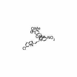 COC(=O)c1ccc(Cc2cn(C/C=C/c3ccc4ccc(Cl)cc4n3)c3ccc([N+](=O)[O-])cc23)c(OC)c1